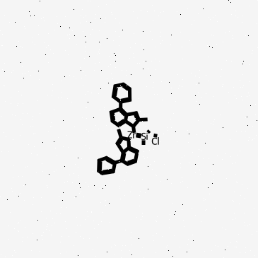 CC1=Cc2c(-c3ccccc3)cccc2[CH]1[Zr]([CH]1C(C)=Cc2c(-c3ccccc3)cccc21)=[Si](C)C.CCl